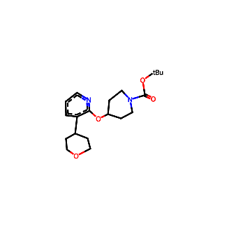 CC(C)(C)OC(=O)N1CCC(Oc2ncccc2C2CCOCC2)CC1